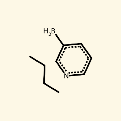 Bc1cccnc1.CCCC